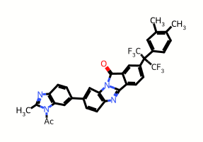 CC(=O)n1c(C)nc2ccc(-c3ccc4nc5n(c4c3)C(=O)c3cc(C(c4ccc(C)c(C)c4)(C(F)(F)F)C(F)(F)F)ccc3-5)cc21